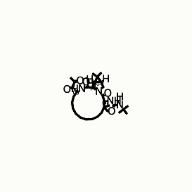 CC(=O)C(=O)[C@@H]1CCCCCCCCCC(C)(C)[C@H](NC(=O)NC(C)(C)C)C(=O)N2C[C@H]3[C@@H]([C@H]2C(=O)N1)C3(C)C